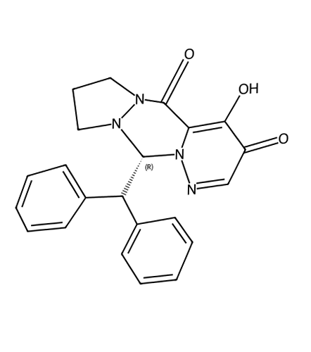 O=C1c2c(O)c(=O)cnn2[C@H](C(c2ccccc2)c2ccccc2)N2CCCN12